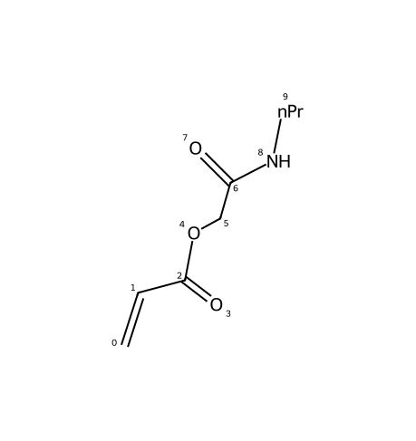 C=CC(=O)OCC(=O)NCCC